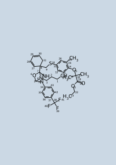 CCCCN1C2OC1(C1(CSc3ccc(OC(C)(C)C(=O)OCC)c(C)c3)C=CC=CC1)NN2c1ccc(C(F)(F)F)cc1